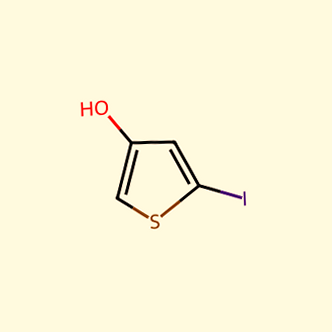 Oc1csc(I)c1